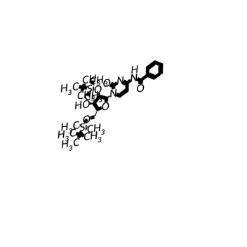 CC(C)(C)[Si](C)(C)OC[C@H]1O[C@@H](n2ccc(NC(=O)c3ccccc3)nc2=O)[C@H](O[Si](C)(C)C(C)(C)C)[C@@H]1O